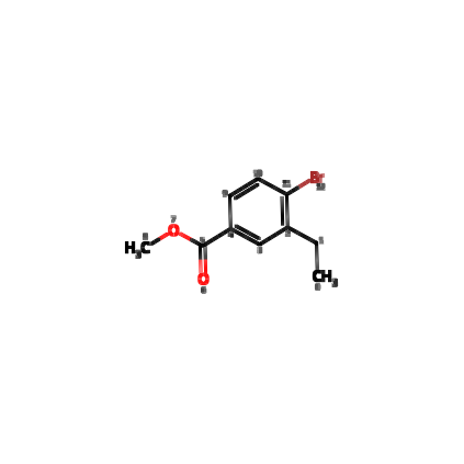 CCc1cc(C(=O)OC)ccc1Br